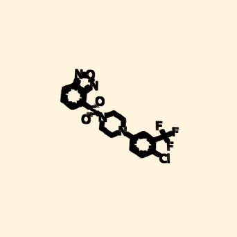 O=S(=O)(c1cccc2nonc12)N1CCN(c2ccc(Cl)c(C(F)(F)F)c2)CC1